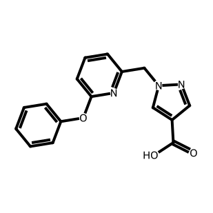 O=C(O)c1cnn(Cc2cccc(Oc3ccccc3)n2)c1